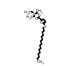 CCCCCCCCCCCCCCCCOc1ccc(C(=O)OC(C)N(CC)CC)o1